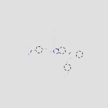 CCOCCCn1c(CCc2ccc(C(=N)N)cc2)nc2cc(C(=O)N(Cc3ccccc3)Cc3ccc(CN)cc3)ccc21